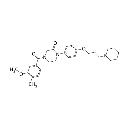 COc1cc(C(=O)N2CCN(c3ccc(OCCCN4CCCCC4)cc3)C(=O)C2)ccc1C